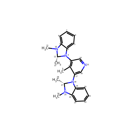 Cc1c(N2c3ccccc3N(C)[C@H]2C)cncc1N1c2ccccc2N(C)[C@@H]1C